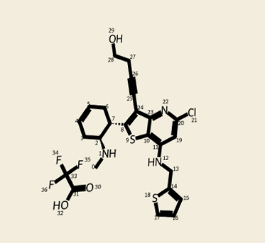 CN[C@H]1CC=CC[C@@H]1c1sc2c(NCc3cccs3)cc(Cl)nc2c1C#CCCO.O=C(O)C(F)(F)F